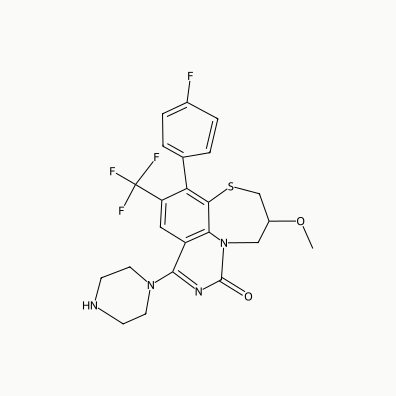 COC1CSc2c(-c3ccc(F)cc3)c(C(F)(F)F)cc3c(N4CCNCC4)nc(=O)n(c23)C1